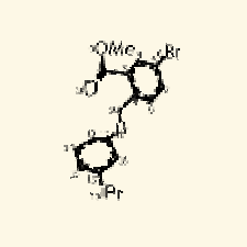 COC(=O)c1cc(Br)ccc1COc1cccc(C(C)C)c1